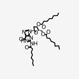 CCCCCCCC(=O)Nc1nc2c(ncn2[C@H]2C[C@H](OC(=O)CCCCCCC)[C@@H](COC(=O)CCCCCCC)O2)c(=O)[nH]1